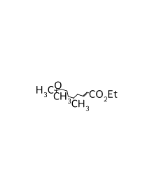 CCOC(=O)/C=C/C[C@H](C)CCC1OC1(C)C